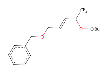 CC(C)COOC(/C=C/COCc1ccccc1)C(F)(F)F